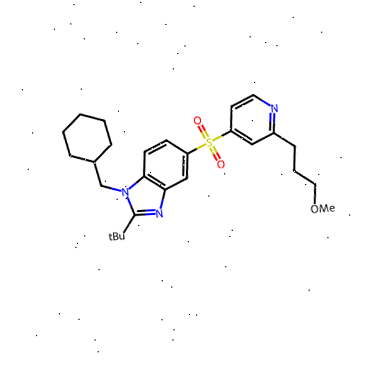 COCCCc1cc(S(=O)(=O)c2ccc3c(c2)nc(C(C)(C)C)n3CC2CCCCC2)ccn1